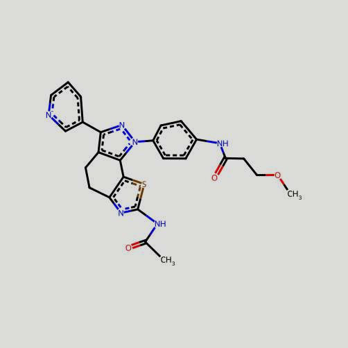 COCCC(=O)Nc1ccc(-n2nc(-c3cccnc3)c3c2-c2sc(NC(C)=O)nc2CC3)cc1